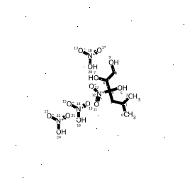 CC(C)CC(O)(C(O)CO)[N+](=O)[O-].O=[N+]([O-])O.O=[N+]([O-])O.O=[N+]([O-])O